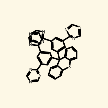 c1ccc2c(c1)Sc1ccccc1C2(c1cc(-c2ncncn2)cc(-c2ncncn2)c1)c1cc(-c2ncncn2)cc(-c2ncncn2)c1